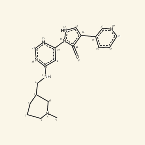 CN1CCCC(CNc2cc(-n3[nH]cc(-c4cccnc4)c3=O)ncn2)C1